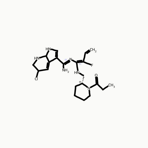 C=C/C(F)=C(\N=C(/N)C1=CNC2NCC(Cl)C=C12)NC[C@H]1CCCCN1C(=O)CC